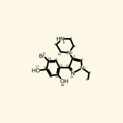 CCn1cc(N2CCNCC2)c(-c2cc(Br)c(O)cc2O)n1